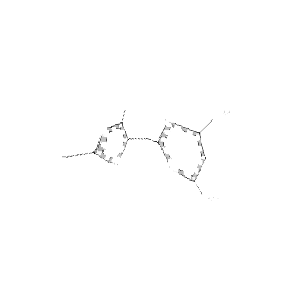 CCOC(=O)c1sc(Cl)nc1-c1nc(OC)cc(OC)n1